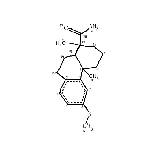 CSc1ccc2c(c1)C1(C)CCCC(C)(C(N)=O)C1CC2